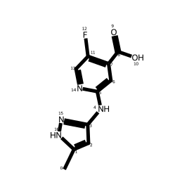 Cc1cc(Nc2cc(C(=O)O)c(F)cn2)n[nH]1